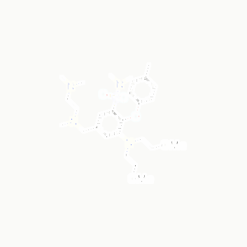 COCCN(CCOC)c1cc(CN(C)CCN(C)C)cc(S(=O)(=O)N(C)C)c1Oc1ccc(C)cc1